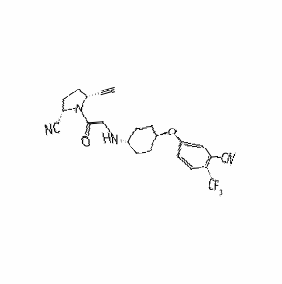 C#C[C@H]1CC[C@@H](C#N)N1C(=O)CN[C@H]1CC[C@H](Oc2ccc(C(F)(F)F)c(C#N)c2)CC1